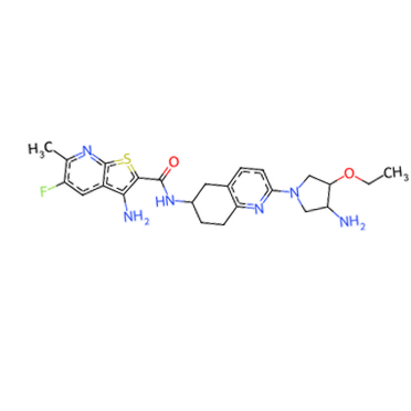 CCOC1CN(c2ccc3c(n2)CCC(NC(=O)c2sc4nc(C)c(F)cc4c2N)C3)CC1N